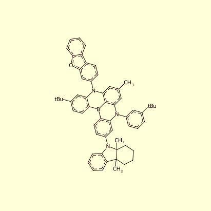 Cc1cc2c3c(c1)N(c1ccc4c(c1)oc1ccccc14)c1cc(C(C)(C)C)ccc1B3c1ccc(N3c4ccccc4C4(C)CCCCC34C)cc1N2c1cccc(C(C)(C)C)c1